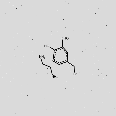 NCCN.O=Cc1cc(CBr)ccc1O